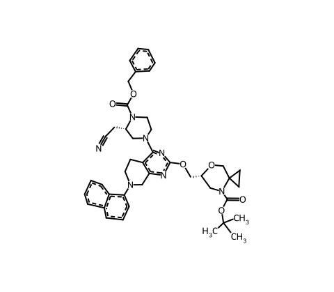 CC(C)(C)OC(=O)N1C[C@H](COc2nc3c(c(N4CCN(C(=O)OCc5ccccc5)[C@@H](CC#N)C4)n2)CCN(c2cccc4ccccc24)C3)OCC12CC2